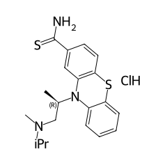 CC(C)N(C)C[C@@H](C)N1c2ccccc2Sc2ccc(C(N)=S)cc21.Cl